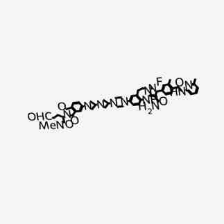 CNC(=O)C(CCC=O)N1C(=O)c2ccc(N3CC(N4CC(N5CCN(c6ccc7c(c6)CCn6nc(-c8ccc(C(=O)Nc9cccc(C)n9)c(C)c8F)c(C(N)=O)c6N7)CC5)C4)C3)cc2C1=O